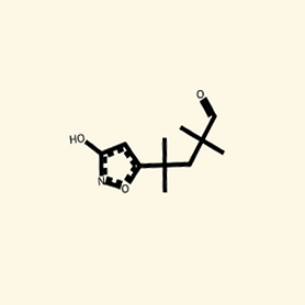 CC(C)(C=O)CC(C)(C)c1cc(O)no1